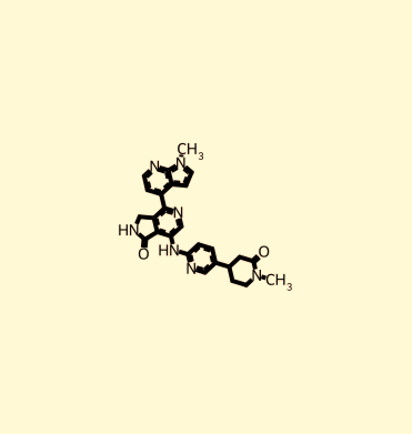 CN1CCC(c2ccc(Nc3cnc(-c4ccnc5c4ccn5C)c4c3C(=O)NC4)nc2)CC1=O